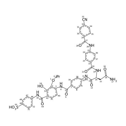 CC(C)Oc1c(NC(=O)c2ccc(NC(=O)[C@H](CC(N)=O)NC(=O)c3ccc(NC(=O)c4ccc(C#N)cc4)cc3)cc2)ccc(C(=O)Nc2ccc(S(=O)(=O)O)cc2)c1O